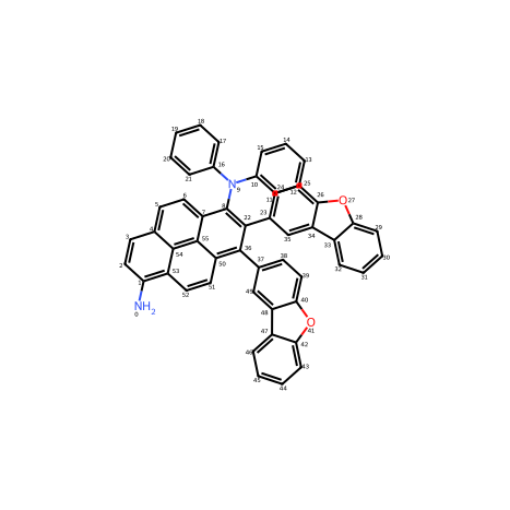 Nc1ccc2ccc3c(N(c4ccccc4)c4ccccc4)c(-c4ccc5oc6ccccc6c5c4)c(-c4ccc5oc6ccccc6c5c4)c4ccc1c2c43